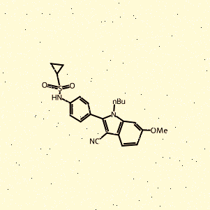 CCCCn1c(-c2ccc(NS(=O)(=O)C3CC3)cc2)c(C#N)c2ccc(OC)cc21